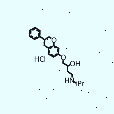 CC(C)NCCC(O)COc1ccc2c(c1)OCC(c1ccccc1)C2.Cl